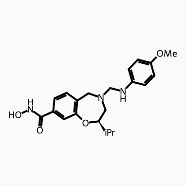 COc1ccc(NCN2Cc3ccc(C(=O)NO)cc3O[C@H](C(C)C)C2)cc1